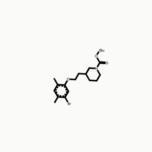 Cc1cc(C)c(OCCC2CCCN(C(=O)OC(C)(C)C)C2)cc1Br